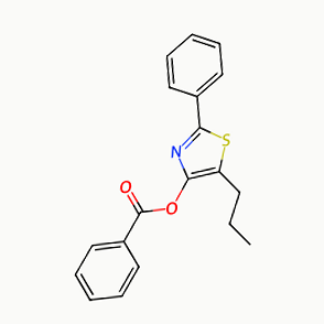 CCCc1sc(-c2ccccc2)nc1OC(=O)c1ccccc1